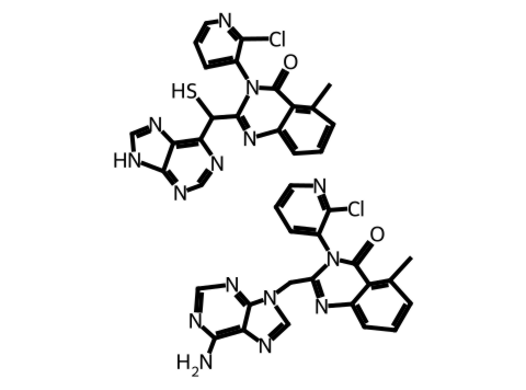 Cc1cccc2nc(C(S)c3ncnc4[nH]cnc34)n(-c3cccnc3Cl)c(=O)c12.Cc1cccc2nc(Cn3cnc4c(N)ncnc43)n(-c3cccnc3Cl)c(=O)c12